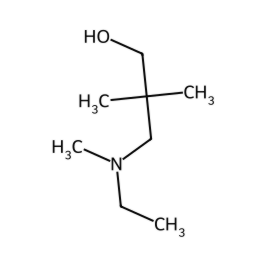 CCN(C)CC(C)(C)CO